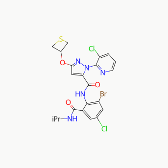 CC(C)NC(=O)c1cc(Cl)cc(Br)c1NC(=O)c1cc(OC2CSC2)nn1-c1ncccc1Cl